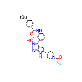 CC(C)(C)c1ccc(C(=O)Nc2cccc(-c3ncnc4[nH]c(C5=CCN(C(=O)CF)CC5)cc34)c2CO)cc1